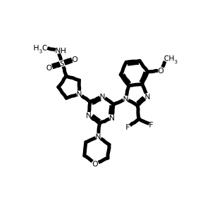 CNS(=O)(=O)C1CCN(c2nc(N3CCOCC3)nc(-n3c(C(F)F)nc4c(OC)cccc43)n2)C1